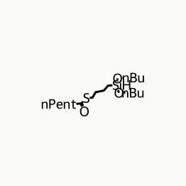 CCCCCC(=O)SCCCC[SiH](OCCCC)OCCCC